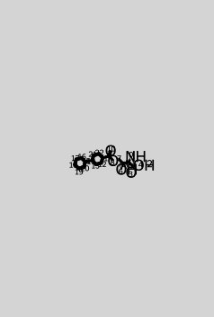 N[C@H](C(=O)O)[C@@H](O)COC(=O)c1ccc(-c2ccccc2)cc1